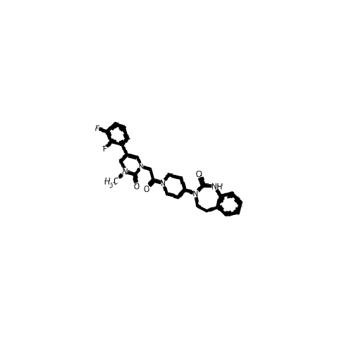 CN1CC(c2cccc(F)c2F)=CN(CC(=O)N2CCC(N3CCc4ccccc4NC3=O)CC2)C1=O